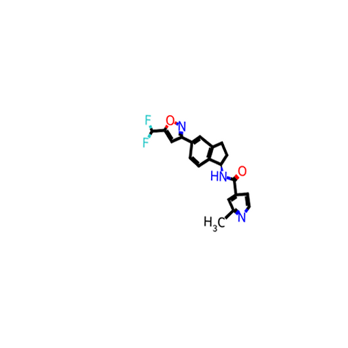 Cc1cc(C(=O)N[C@@H]2CCc3cc(-c4cc(C(F)F)on4)ccc32)ccn1